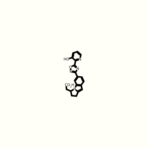 O=C(O)CC1CCc2cc3ccc(-c4noc(-c5ncccc5O)n4)cc3n21